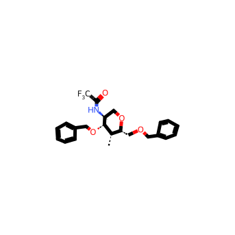 C[C@@H]1[C@H](OCc2ccccc2)[C@@H](NC(=O)C(F)(F)F)CO[C@@H]1COCc1ccccc1